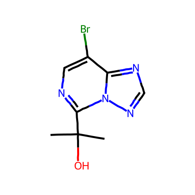 CC(C)(O)c1ncc(Br)c2ncnn12